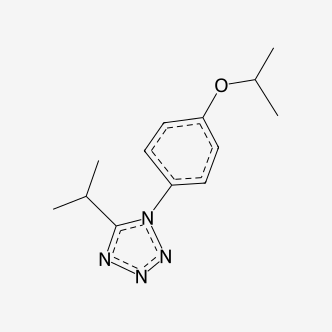 CC(C)Oc1ccc(-n2nnnc2C(C)C)cc1